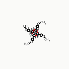 CCCOc1ccc(-c2c(F)c(F)c([B-](c3c(F)c(F)c(-c4ccc(OCCC)cc4)c(F)c3F)(c3c(F)c(F)c(-c4ccc(OCCC)cc4)c(F)c3F)c3c(F)c(F)c(-c4ccc(OCCC)cc4)c(F)c3F)c(F)c2F)cc1